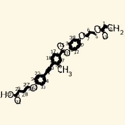 C=CC(=O)OCCCOc1ccc(OC(=O)c2ccc(C#Cc3ccc(OCCCC(=O)O)cc3)c(C)c2)cc1